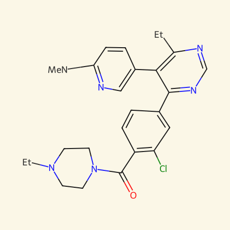 CCc1ncnc(-c2ccc(C(=O)N3CCN(CC)CC3)c(Cl)c2)c1-c1ccc(NC)nc1